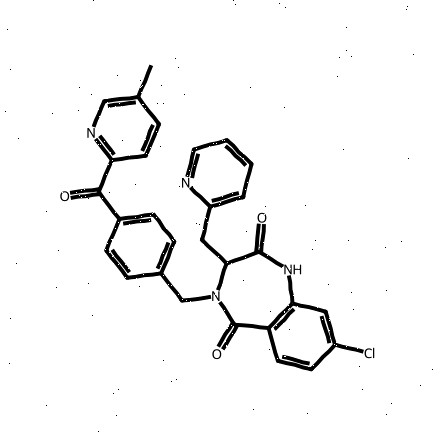 Cc1ccc(C(=O)c2ccc(CN3C(=O)c4ccc(Cl)cc4NC(=O)C3Cc3ccccn3)cc2)nc1